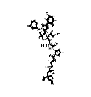 C=CCC(CC)(CC)CC(=O)NCCNC(=O)[C@@H]1CCC[C@@H]1NC(=O)[C@@H](N)CCN(C(=O)CO)[C@@H](c1cc(-c2cc(F)ccc2F)cn1Cc1ccccc1)C(C)(C)C